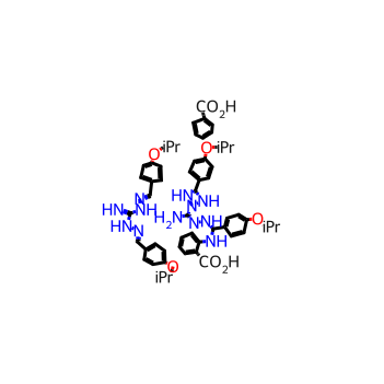 CC(C)Oc1ccc(C(NN=C(N)N2NC(c3ccc(OC(C)C)cc3)N2)Nc2ccccc2C(=O)O)cc1.CC(C)Oc1ccc(C=NNC(=N)NN=Cc2ccc(OC(C)C)cc2)cc1.O=C(O)c1ccccc1